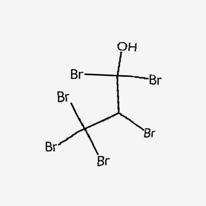 OC(Br)(Br)C(Br)C(Br)(Br)Br